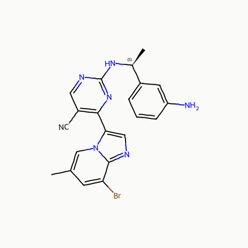 Cc1cc(Br)c2ncc(-c3nc(N[C@@H](C)c4cccc(N)c4)ncc3C#N)n2c1